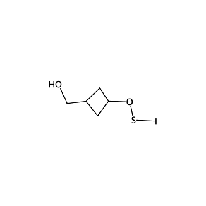 OCC1CC(OSI)C1